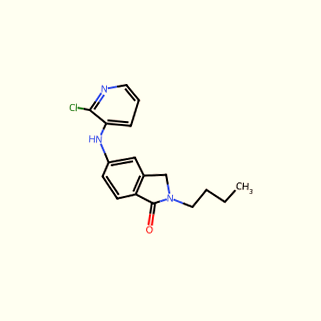 CCCCN1Cc2cc(Nc3cccnc3Cl)ccc2C1=O